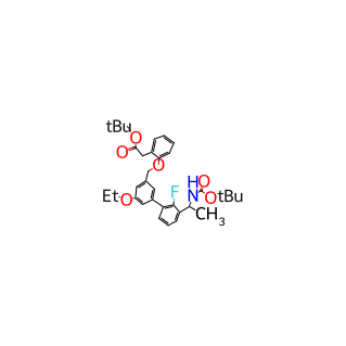 CCOc1cc(COc2ccccc2CC(=O)OC(C)(C)C)cc(-c2cccc(C(C)NC(=O)OC(C)(C)C)c2F)c1